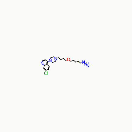 [N-]=[N+]=NCCCCCOCCCCN1CCN(c2ccnc3cc(Cl)ccc23)CC1